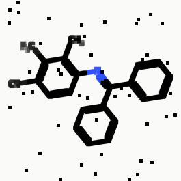 [C-]#[N+]c1ccc(N=C(c2ccccc2)c2ccccc2)c(C)c1C(F)(F)F